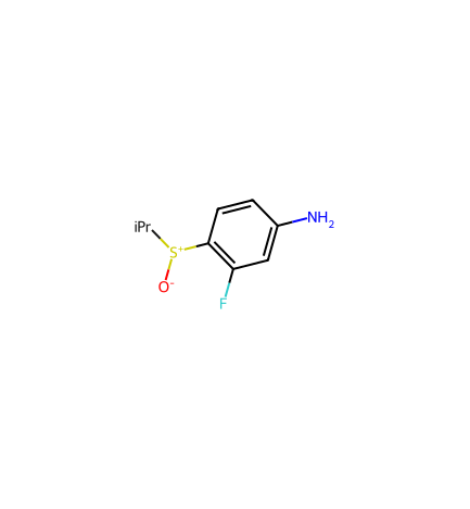 CC(C)[S+]([O-])c1ccc(N)cc1F